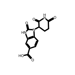 O=C1CCC(n2c(=O)[nH]c3cc(C(=O)O)ccc32)C(=O)N1